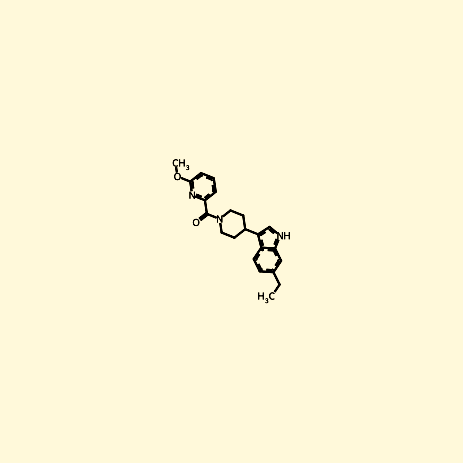 CCc1ccc2c(C3CCN(C(=O)c4cccc(OC)n4)CC3)c[nH]c2c1